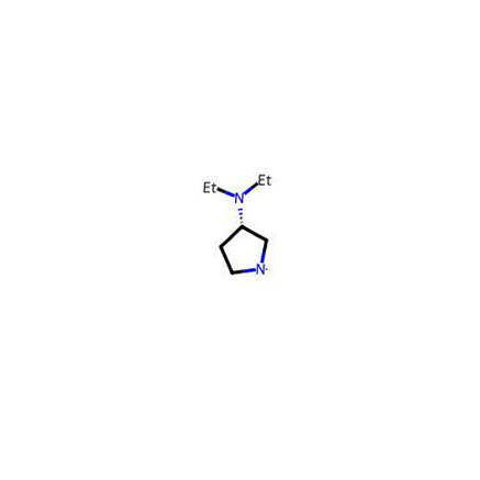 CCN(CC)[C@H]1CC[N]C1